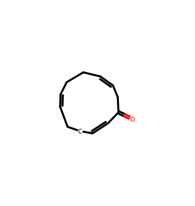 O=C1C=CCCC=CCCC=CC1